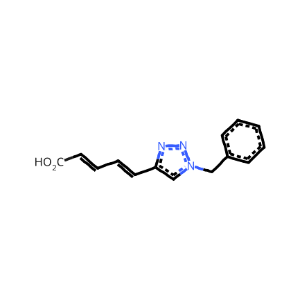 O=C(O)C=CC=Cc1cn(Cc2ccccc2)nn1